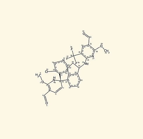 COC1=C(C=O)C=C[C@@](c2ccncc2Cl)(c2cccc3c2CCC3Nc2nc(OC)c(C=O)cc2C(F)(F)F)N1